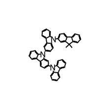 CC1(C)c2ccccc2-c2ccc(-n3c4ccccc4c4cc(-n5c6ccccc6c6ccc(-n7c8ccccc8c8ccccc87)cc65)ccc43)cc21